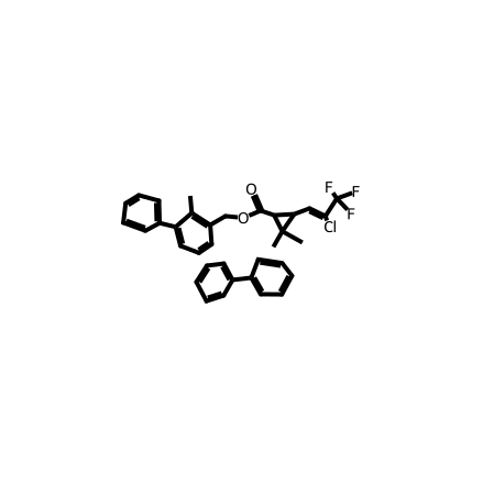 Cc1c(COC(=O)C2C(/C=C(\Cl)C(F)(F)F)C2(C)C)cccc1-c1ccccc1.c1ccc(-c2ccccc2)cc1